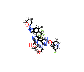 Cc1cc2c(cnn2C2CCCCO2)c(-c2ncnc3c2sc2nc(OC[C@@]45CCCN4C[C@H](F)C5)nc(N4CCOC[C@@](C)(O)C4)c23)c1C(F)(F)F